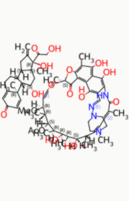 C=C1C[C@H]2[C@@H]3CCC4=CC(=O)C=C[C@]4(C)[C@H]3[C@@H](O)C[C@]2(C)[C@@]1(O)C(=O)CO.CO[C@H]1/C=C\O[C@@]2(C)Oc3c(C)c(O)c4c(O)c(c(/C=N/N5CCN(C)CC5)c(O)c4c3C2=O)NC(=O)/C(C)=C\C=C/[C@H](C)[C@H](O)[C@@H](C)[C@@H](O)[C@@H](C)[C@H](OC(C)=O)[C@@H]1C